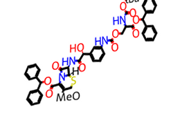 COC1=C(C(=O)OC(c2ccccc2)c2ccccc2)N2C(=O)[C@@H](NC(=O)[C@H](O)c3cccc(NC(=O)OCC(NC(=O)OC(C)(C)C)C(=O)OC(c4ccccc4)c4ccccc4)c3)[C@H]2SC1